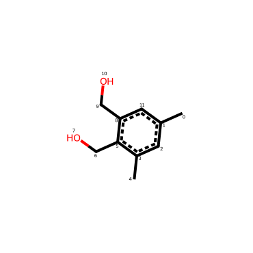 Cc1cc(C)c(CO)c(CO)c1